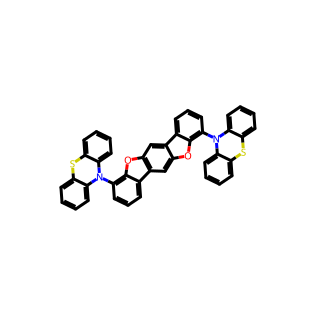 c1ccc2c(c1)Sc1ccccc1N2c1cccc2c1oc1cc3c(cc12)oc1c(N2c4ccccc4Sc4ccccc42)cccc13